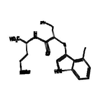 CSCCC(NC(=O)C(CC(C)C)Sc1c[nH]c2cccc(C)c12)C(=O)O